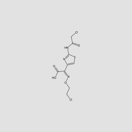 O=C(CCl)Nc1nc(C(=NOCCCl)C(=O)O)cs1